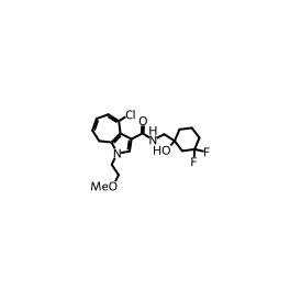 COCCn1cc(C(=O)NCC2(O)CCCC(F)(F)C2)c2c1CC=CC=C2Cl